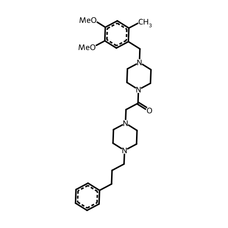 COc1cc(C)c(CN2CCN(C(=O)CN3CCN(CCCc4ccccc4)CC3)CC2)cc1OC